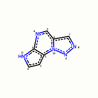 c1cc2c(ncc3cnnn32)[nH]1